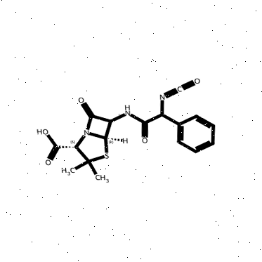 CC1(C)S[C@@H]2C(NC(=O)C(N=C=O)c3ccccc3)C(=O)N2[C@H]1C(=O)O